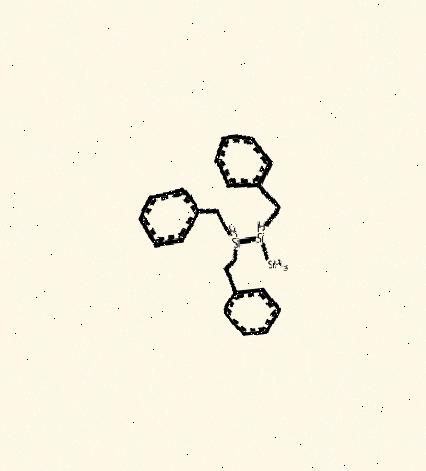 [SiH3][SiH](Cc1ccccc1)[SiH](Cc1ccccc1)Cc1ccccc1